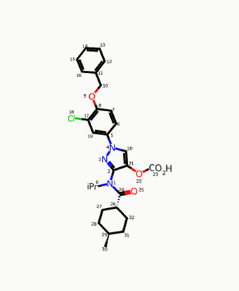 CC(C)N(c1nn(-c2ccc(OCc3ccccc3)c(Cl)c2)cc1OC(=O)O)C(=O)[C@H]1CC[C@H](C)CC1